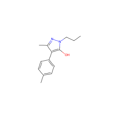 CCCn1nc(C)c(-c2ccc(C)cc2)c1O